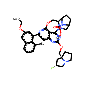 CCc1cccc2cc(OCOC)cc(-c3cc4nc(OC[C@@]56CCCN5C[C@H](F)C6)nc5c4c(n3)OCC3C4CCC(CN53)N4C(=O)OC(C)(C)C)c12